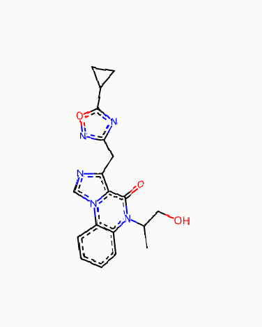 CC(CO)n1c(=O)c2c(Cc3noc(C4CC4)n3)ncn2c2ccccc21